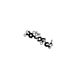 Cc1c([C@@H](O)CN2CCC3(CC2)CCN(c2ccc(=O)n(C(F)F)c2)C3=O)ccc2c1COC2=O